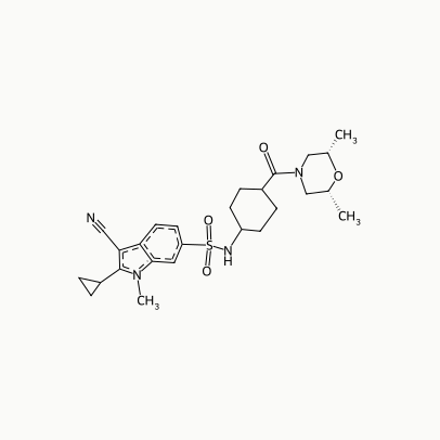 C[C@@H]1CN(C(=O)C2CCC(NS(=O)(=O)c3ccc4c(C#N)c(C5CC5)n(C)c4c3)CC2)C[C@H](C)O1